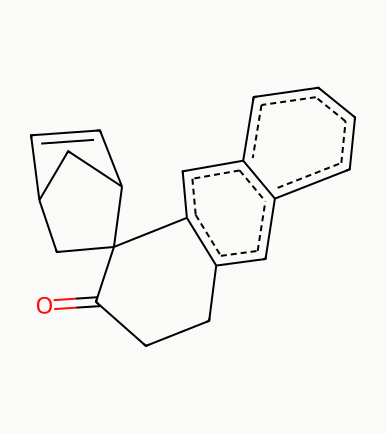 O=C1CCc2cc3ccccc3cc2C12CC1C=CC2C1